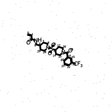 C=CC(=O)NCC1CCN(S(=O)(=O)C2CCN(C(=O)c3cccc(C(F)(F)F)c3)CC2)CC1